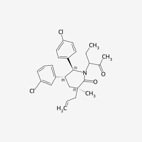 C=CC[C@@]1(C)C[C@H](c2cccc(Cl)c2)[C@@H](c2ccc(Cl)cc2)N(C(CC)C(C)=O)C1=O